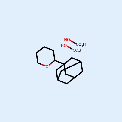 C1CCC(C23CC4CC(CC(C4)C2)C3)OC1.O=C(O)O.O=C(O)O